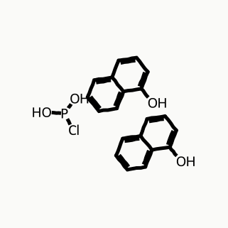 OP(O)Cl.Oc1cccc2ccccc12.Oc1cccc2ccccc12